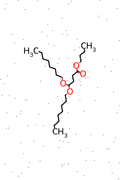 CCCCCCCCOC(CCC(=O)OCCCC)OCCCCCCCC